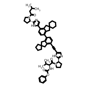 CC(C)CC(=O)N1CCC[C@H]1c1ncc(-c2ccc(-c3ccc(C#Cc4cnc([C@H]5CCCN5C(=O)[C@@H](NC(=O)Oc5ccccc5)C(C)C)[nH]4)c4c3CC3(CCCC3)C4)c3c2CC2(CCCCC2)C3)[nH]1